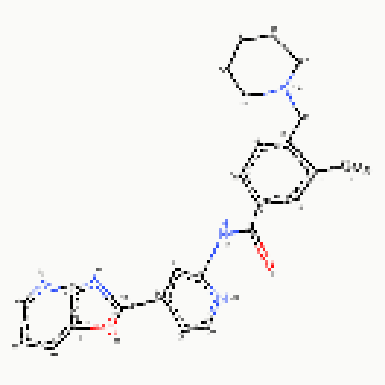 COc1cc(C(=O)Nc2cc(-c3nc4ncccc4o3)ccn2)ccc1CN1CCCCC1